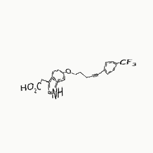 O=C(O)Cc1c[nH]c2cc(OCCCC#Cc3ccc(C(F)(F)F)cc3)ccc12